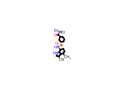 CCN(CC)C(=O)c1cccc(S(=O)(=O)Nc2ccc(C)c3c(C#N)c[nH]c23)c1